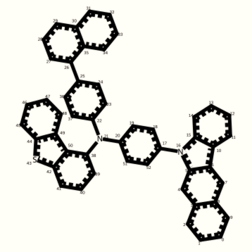 c1ccc2cc3c(cc2c1)c1ccccc1n3-c1ccc(N(c2ccc(-c3cccc4ccccc34)cc2)c2cccc3sc4ccccc4c23)cc1